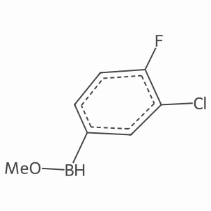 COBc1ccc(F)c(Cl)c1